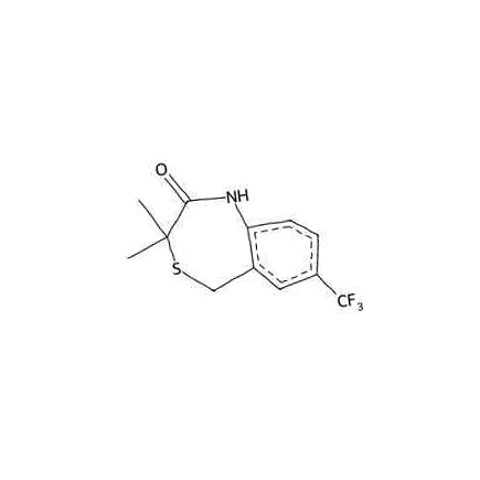 CC1(C)SCc2cc(C(F)(F)F)ccc2NC1=O